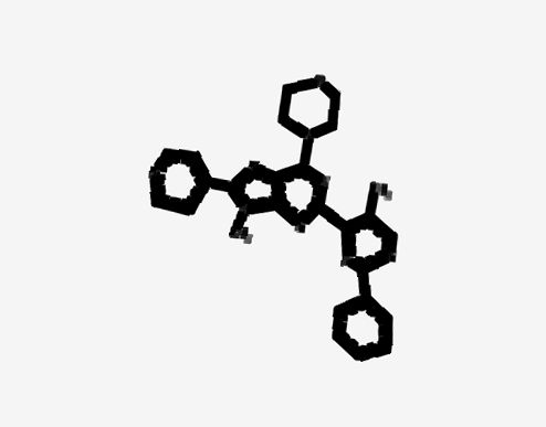 Cc1cnc(-c2ccccc2)nc1-c1nc(N2CCOCC2)c2nc(-c3ccncc3)n(C)c2n1